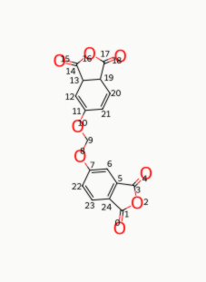 O=C1OC(=O)c2cc(OCOC3=CC4C(=O)OC(=O)C4C=C3)ccc21